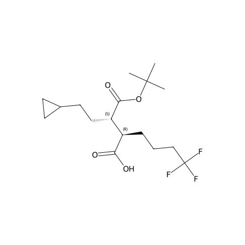 CC(C)(C)OC(=O)[C@@H](CCC1CC1)[C@@H](CCCC(F)(F)F)C(=O)O